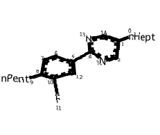 CCCCCCCc1cnc(-c2ccc(CCCCC)c(F)c2)nc1